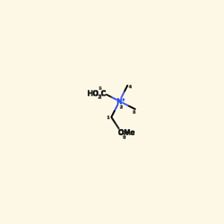 COC[N+](C)(C)C(=O)O